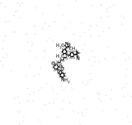 Cc1ccc(-c2c(C)noc2C)cc1N(CCCCCCN1C(=O)CCC(N2Cc3cc(N)ccc3C2=O)C1=O)c1ccc(C2(C#N)CC2)cc1